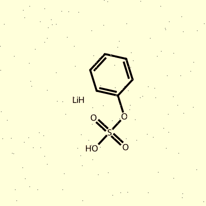 O=S(=O)(O)Oc1ccccc1.[LiH]